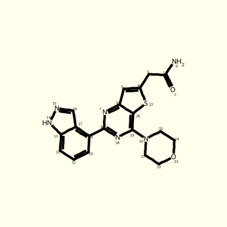 NC(=O)Cc1cc2nc(-c3cccc4[nH]ncc34)nc(N3CCOCC3)c2s1